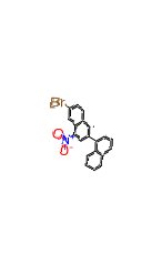 O=[N+]([O-])c1cc(-c2cccc3ccccc23)[c]c2ccc(Br)cc12